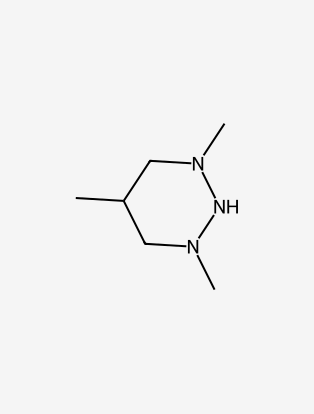 CC1CN(C)NN(C)C1